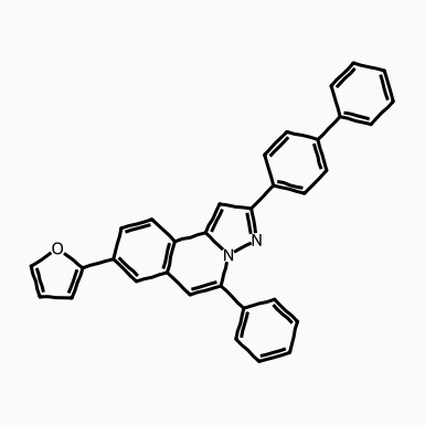 c1ccc(-c2ccc(-c3cc4c5ccc(-c6ccco6)cc5cc(-c5ccccc5)n4n3)cc2)cc1